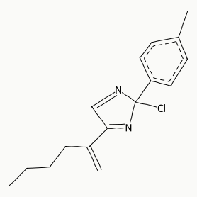 C=C(CCCC)C1=NC(Cl)(c2ccc(C)cc2)N=C1